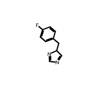 Fc1ccc(CC2C=NC=N2)cc1